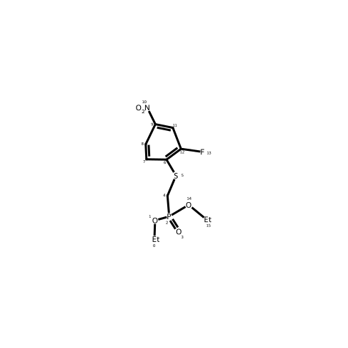 CCOP(=O)(CSc1ccc([N+](=O)[O-])cc1F)OCC